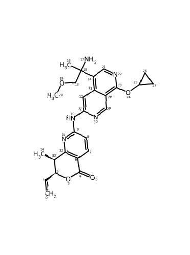 C=C[C@@H]1OC(=O)c2ccc(Nc3cc4c(C(C)(N)COC)cnc(OC5CC5)c4cn3)nc2[C@@H]1C